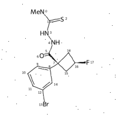 CNC(=S)NNC(=O)[C@]1(c2cccc(Br)c2)C[C@H](F)C1